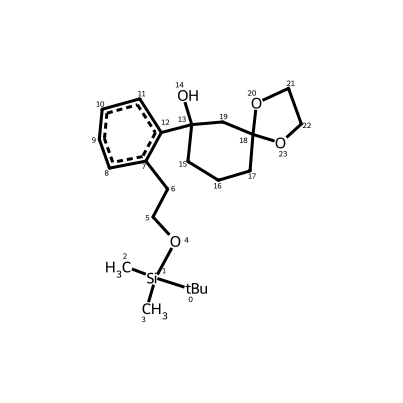 CC(C)(C)[Si](C)(C)OCCc1ccccc1C1(O)CCCC2(C1)OCCO2